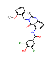 O=C(Nc1cccc2nc(C(F)(F)F)n(Cc3ccccc3OC(F)(F)F)c(=O)c12)c1cc(Cl)c(O)c(Cl)c1